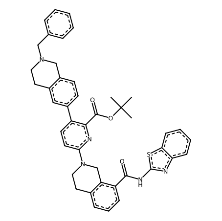 CC(C)(C)OC(=O)c1nc(N2CCc3cccc(C(=O)Nc4nc5ccccc5s4)c3C2)ccc1-c1ccc2c(c1)CCN(Cc1ccccc1)C2